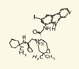 CC1(NC(=O)CN2CC(C)(C)OC[C@H]2C(=O)Nc2cc(I)cc3c2[nH]c2cnccc23)CCCCC1